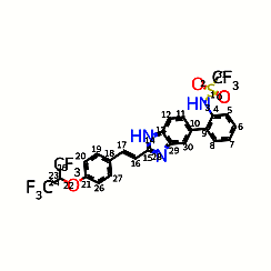 O=S(=O)(Nc1ccccc1-c1ccc2[nH]c(C=Cc3ccc(OC(C(F)(F)F)C(F)(F)F)cc3)nc2c1)C(F)(F)F